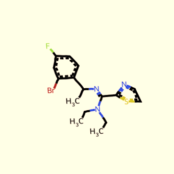 CCN(CC)/C(=N\C(C)c1ccc(F)cc1Br)c1nccs1